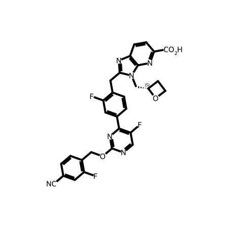 N#Cc1ccc(COc2ncc(F)c(-c3ccc(Cc4nc5ccc(C(=O)O)nc5n4C[C@@H]4CCO4)c(F)c3)n2)c(F)c1